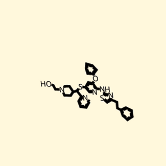 OCCN1CCC(C(Sc2cnc(Nc3nc(CCc4ccccc4)cs3)c(Oc3ccccc3)c2)c2ccccn2)CC1